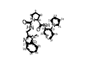 Cn1c(CNC(=O)N2CCC[C@H]2C(=O)Nc2ccccc2-n2cccc2)nc2ccccc21